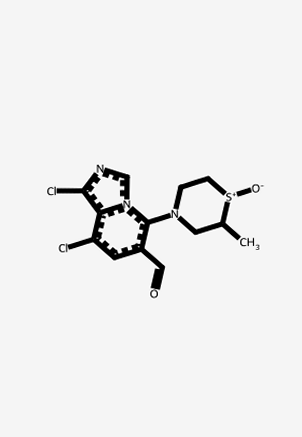 CC1CN(c2c(C=O)cc(Cl)c3c(Cl)ncn23)CC[S+]1[O-]